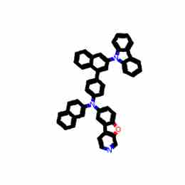 c1ccc2cc(N(c3ccc(-c4cc(-n5c6ccccc6c6ccccc65)cc5ccccc45)cc3)c3ccc4oc5cnccc5c4c3)ccc2c1